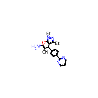 CCc1nn(CC)c2c1C(c1ccc(-c3ncccn3)cc1)C(C#N)=C(N)O2